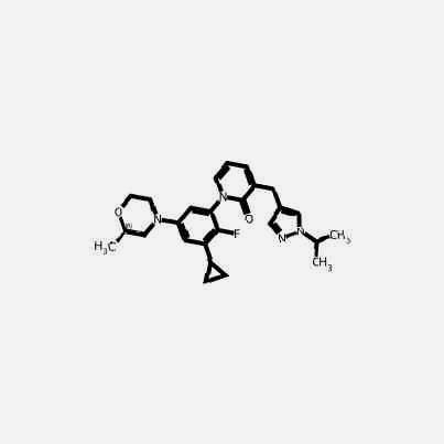 CC(C)n1cc(Cc2cccn(-c3cc(N4CCO[C@H](C)C4)cc(C4CC4)c3F)c2=O)cn1